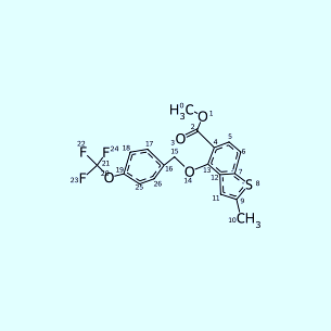 COC(=O)c1ccc2sc(C)cc2c1OCc1ccc(OC(F)(F)F)cc1